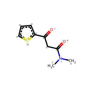 CN(C)C(=O)CC(=O)c1cccs1